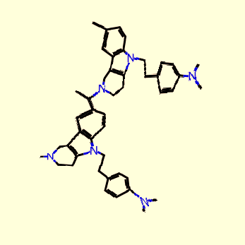 Cc1ccc2c(c1)c1c(n2CCc2ccc(N(C)C)cc2)CCN(C(C)c2ccc3c(c2)c2c(n3CCc3ccc(N(C)C)cc3)CCN(C)C2)C1